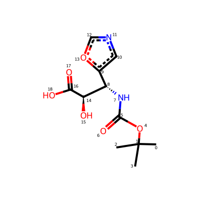 CC(C)(C)OC(=O)N[C@@H](c1cnco1)[C@@H](O)C(=O)O